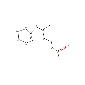 CC(=O)CCCC(C)CC1=CCCCC1